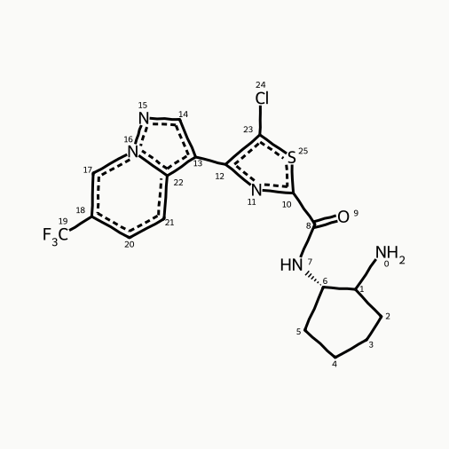 NC1CCCC[C@@H]1NC(=O)c1nc(-c2cnn3cc(C(F)(F)F)ccc23)c(Cl)s1